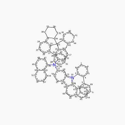 c1ccc(-c2ccccc2-n2c3cc(N(c4ccc5c(c4)C(c4ccccc4-c4ccccc4)(C4CCCCC4)c4ccccc4-5)c4cccc5ccccc45)ccc3c3ccc4ccccc4c32)cc1